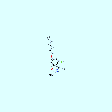 CC(C)(C)[S@+]([O-])/N=C(\c1ccc(OCCCCCC(F)(F)F)cc1F)C(F)(F)F